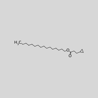 CCCCCCCCCCCCCCCCOC(=O)CCC1CC1